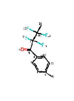 Cc1ccc(C(=O)C(F)(F)C(C)(F)F)cc1